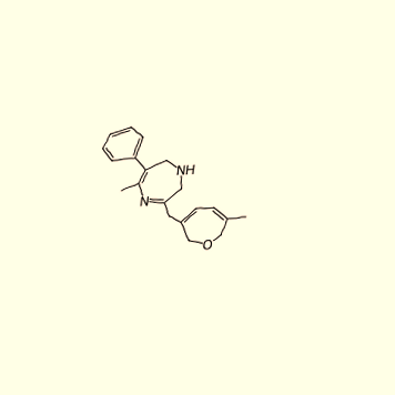 CC1=CC=C(CC2=NC(C)=C(c3ccccc3)CNC2)COC1